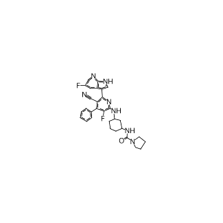 N#Cc1c(-c2c[nH]c3ncc(F)cc23)nc(NC2CCCC(NC(=O)N3CCCC3)C2)c(F)c1-c1ccccc1